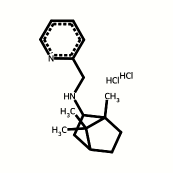 CC1(C)C2CCC1(C)C(NCc1ccccn1)C2.Cl.Cl